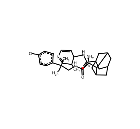 CC1C=NC=CC1NC(=O)C12CC3CC(C1)C([C@H](N)C(=O)NCC(C)(C)c1ccc(Cl)cc1)C(C3)C2